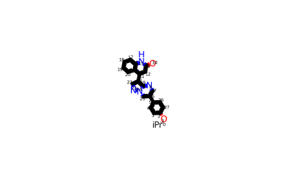 CC(C)Oc1ccc(-c2cnc3c(-c4cc(=O)[nH]c5ccccc45)cnn3c2)cc1